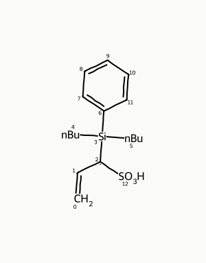 C=C[C]([Si](CCCC)(CCCC)c1ccccc1)S(=O)(=O)O